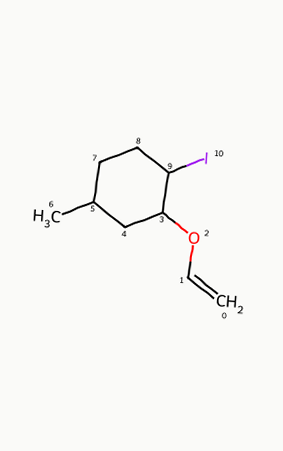 C=COC1CC(C)CCC1I